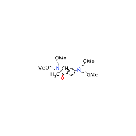 COCCN(CCOC)c1ccc(C(=O)C(C)(C)N(CCOC)CCOC)cc1